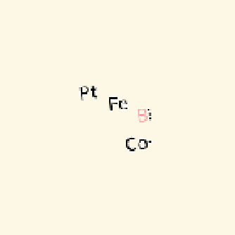 [B].[Co].[Fe].[Pt]